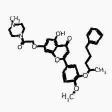 COc1ccc(-c2cc(=O)c3c(O)cc(OCC(=O)N4CCN(C)CC4)cc3o2)cc1OC(C)CCCc1ccccc1